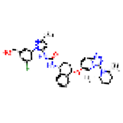 C[C@@H]1CCC[C@H](C)N1c1nnc2ccc(O[C@@H]3CC[C@H](NC(=O)Nc4cc(C(C)(C)C)nn4-c4cc(F)cc(CO)c4)c4ccccc43)cn12